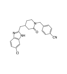 N#Cc1ccc(CN2CCC(Cc3nc4ccc(Cl)cc4[nH]3)CC2=O)cc1